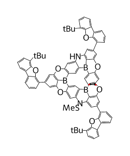 CSN1c2cc3c(cc2B2c4ccccc4Oc4cc(-c5cccc6c5oc5c(C(C)(C)C)cccc56)cc1c42)B1c2cc4c(cc2Oc2cc(-c5cccc6c5oc5c(C(C)(C)C)cccc56)cc(c21)O3)Nc1cc(-c2cccc3c2oc2c(C(C)(C)C)cccc23)cc2c1B4c1ccccc1O2